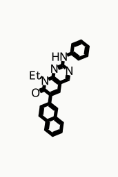 CCn1c(=O)c(-c2ccc3ccccc3c2)cc2cnc(Nc3ccccc3)nc21